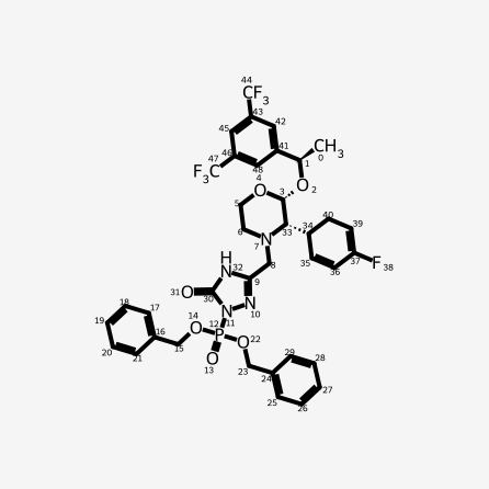 C[C@@H](O[C@H]1OCCN(Cc2nn(P(=O)(OCc3ccccc3)OCc3ccccc3)c(=O)[nH]2)[C@H]1C1C=CC(F)=CC1)c1cc(C(F)(F)F)cc(C(F)(F)F)c1